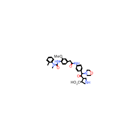 COc1cc(CC(=O)Nc2ccc(C(C(=O)C3CNCC3C(=O)O)N3CCOCC3)cc2)ccc1NC(=O)N(C)c1ccccc1C